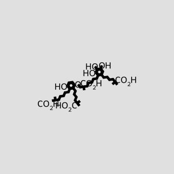 CC(C)(CCCCCc1c(O)ccc(OCC(C)(CCCCCc2c(CCCCC(C)(C)C(=O)O)cc(O)c(O)c2O)C(=O)O)c1CCCCC(C)(C)C(=O)O)C(=O)O